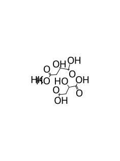 O=C(O)CC(O)C(=O)O.O=C(O)CC(O)C(=O)O.[KH]